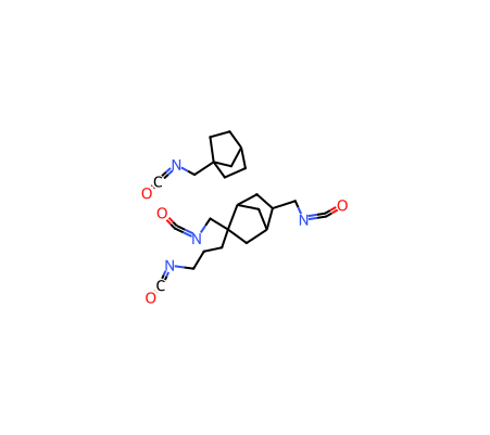 O=C=NCC12CCC(CC1)C2.O=C=NCCCC1(CN=C=O)CC2CC1CC2CN=C=O